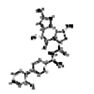 CC(C)[C@@H](C(=O)N1C[C@H](O)C[C@H]1C(=O)N[C@@H](C)c1ccc(-c2ccncc2Cl)cc1)c1cc(C(C)(C)C)no1